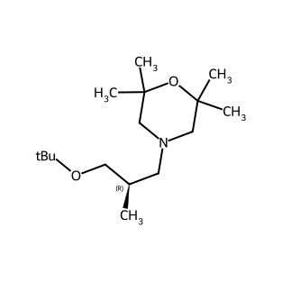 C[C@@H](COC(C)(C)C)CN1CC(C)(C)OC(C)(C)C1